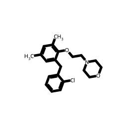 Cc1cc(C)c(OCCN2CCOCC2)c(Cc2ccccc2Cl)c1